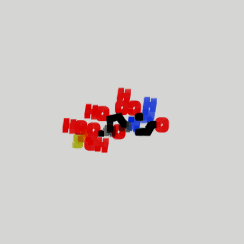 O=c1ccn([C@@H]2O[C@H](COP(O)(O)=S)C(O)C2O)c(=O)[nH]1